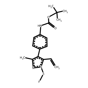 C=Cc1c(-c2ccc(NC(=O)OC(C)(C)C)cc2)c(C)nn1SF